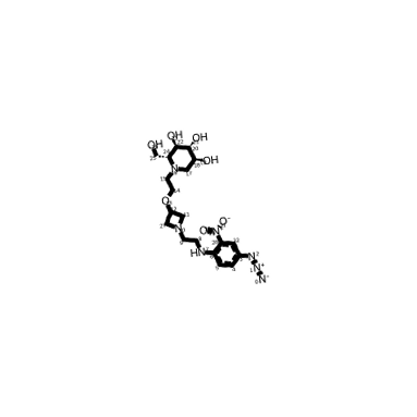 [N-]=[N+]=Nc1ccc(NCCN2CC(OCCN3C[C@H](O)[C@@H](O)[C@H](O)[C@H]3CO)C2)c([N+](=O)[O-])c1